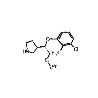 CC(C)OC[C@@H](Oc1cccc(Cl)c1C(F)(F)F)C1CCNC1